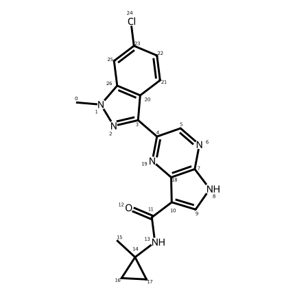 Cn1nc(-c2cnc3[nH]cc(C(=O)NC4(C)CC4)c3n2)c2ccc(Cl)cc21